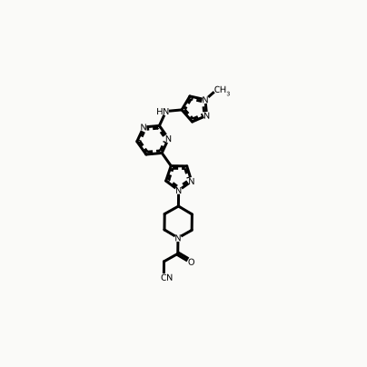 Cn1cc(Nc2nccc(-c3cnn(C4CCN(C(=O)CC#N)CC4)c3)n2)cn1